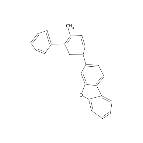 Cc1ccc(-c2ccc3c(c2)oc2ccccc23)cc1-c1ccccc1